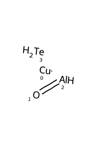 [Cu].[O]=[AlH].[TeH2]